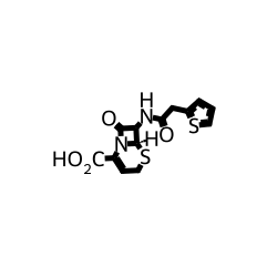 O=C(Cc1cccs1)NC1C(=O)N2C(C(=O)O)=CCS[C@H]12